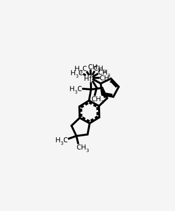 C[CH2][Hf]([CH3])([CH3])([CH3])([CH3])([CH3])([CH3])([CH]1C=CC=C1)[C]1(C)C=Cc2cc3c(cc21)CC(C)(C)C3